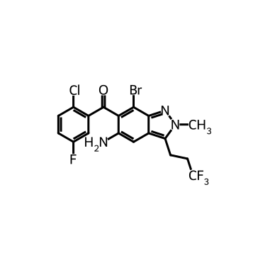 Cn1nc2c(Br)c(C(=O)c3cc(F)ccc3Cl)c(N)cc2c1CCC(F)(F)F